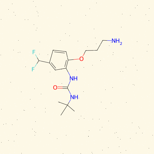 CC(C)(C)NC(=O)Nc1cc(C(F)F)ccc1OCCCN